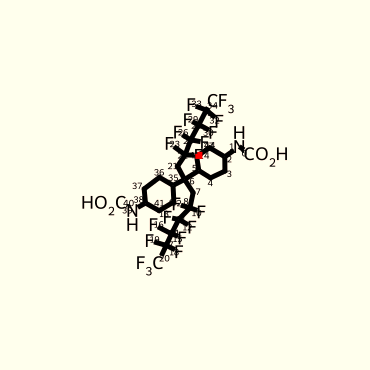 O=C(O)NC1CCC(C(CC(F)(F)C(F)(F)C(F)(F)C(F)(F)C(F)(F)F)(CC(F)(F)C(F)(F)C(F)(F)C(F)(F)C(F)(F)F)C2CCC(NC(=O)O)CC2)CC1